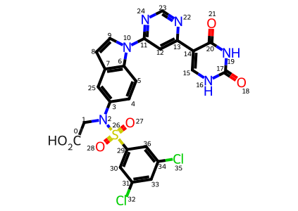 O=C(O)CN(c1ccc2c(ccn2-c2cc(-c3c[nH]c(=O)[nH]c3=O)ncn2)c1)S(=O)(=O)c1cc(Cl)cc(Cl)c1